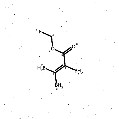 BC(B)=C(B)C(=O)OCF